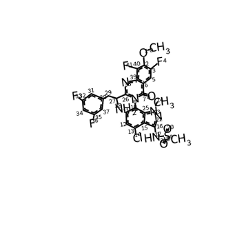 COc1c(F)cc2c(=O)n(-c3ccc(Cl)c4c(NS(C)(=O)=O)nn(C)c34)c(C(N)Cc3cc(F)cc(F)c3)nc2c1F